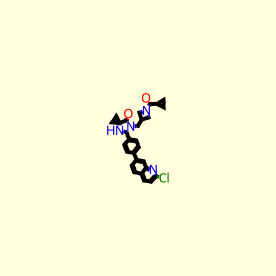 O=C(C1CC1)N1CC(CN2C(=O)C3(CC3)NC2c2ccc(-c3ccc4ccc(Cl)nc4c3)cc2)C1